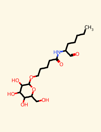 CCCCCC(C=O)NC(=O)CCCCOC1OC(CO)C(O)C(O)C1O